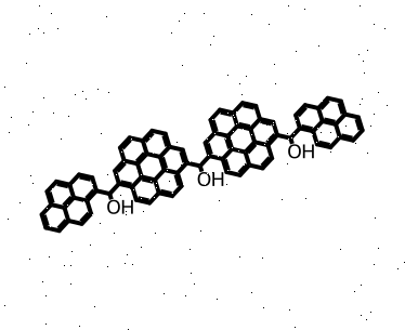 OC(c1ccc2ccc3cccc4ccc1c2c34)c1cc2ccc3ccc4cc(C(O)c5cc6ccc7ccc8cc(C(O)c9ccc%10ccc%11cccc%12ccc9c%10c%11%12)c9ccc%10ccc5c5c6c7c8c9c%105)c5ccc6ccc1c1c2c3c4c5c61